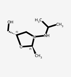 CC(C)NN1C[C@@H](CO)O[C@@H]1C